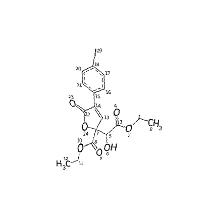 CCOC(=O)C(O)C1(C(=O)OCC)C=C(c2ccc(I)cc2)C(=O)O1